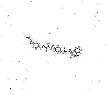 C#CCOc1ccc(CONC(=O)/C=C/c2ccc(CNCCc3c(C)[nH]c4ccccc34)cc2)cc1